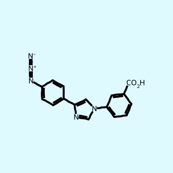 [N-]=[N+]=Nc1ccc(-c2cn(-c3cccc(C(=O)O)c3)cn2)cc1